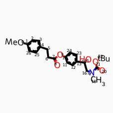 COc1ccc(CCC(=O)Oc2ccc(C(O)CN(C)C(=O)OC(C)(C)C)cc2)cc1